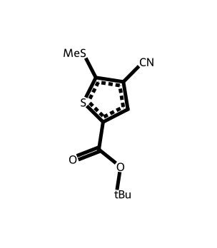 CSc1sc(C(=O)OC(C)(C)C)cc1C#N